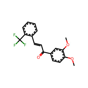 COc1ccc(C(=O)C=Cc2ccccc2C(F)(F)F)cc1OC